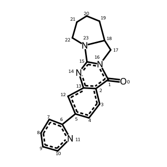 O=c1c2ccc(-c3ccccn3)cc2nc2n1CC1CCCCN21